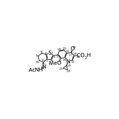 COc1c(-c2cc3c(s2)CCC/C3=N\NC(C)=O)ccc2c(=O)c(C(=O)O)cn(C3CC3)c12